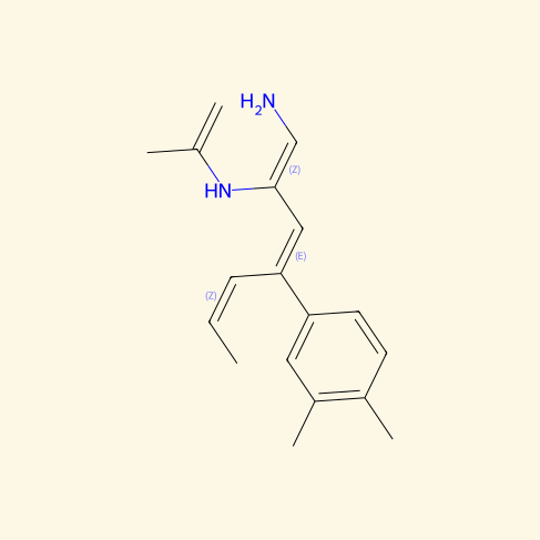 C=C(C)NC(=C\N)/C=C(\C=C/C)c1ccc(C)c(C)c1